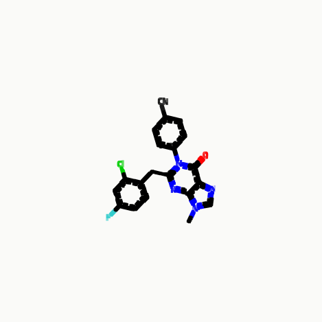 Cn1cnc2c(=O)n(-c3ccc(C#N)cc3)c(Cc3ccc(F)cc3Cl)nc21